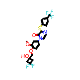 COc1cc(-n2ccnc(Sc3ccc(C(F)(F)F)cc3)c2=O)ccc1OCC1(O)CC(F)(F)C1